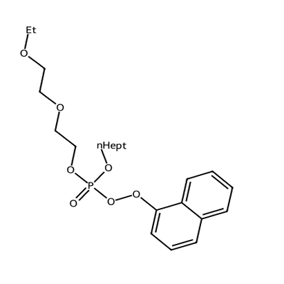 CCCCCCCOP(=O)(OCCOCCOCC)OOc1cccc2ccccc12